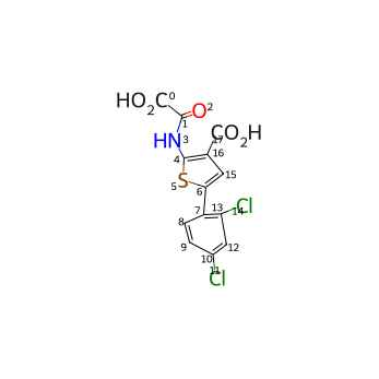 O=C(O)C(=O)Nc1sc(-c2ccc(Cl)cc2Cl)cc1C(=O)O